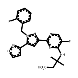 CC(C)(CC(=O)O)Nc1nc(-c2cc(-c3ccon3)n(Cc3ccccc3F)n2)ncc1F